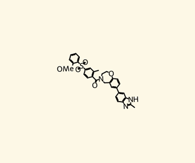 COc1ccccc1S(=O)(=O)c1ccc(C(=O)N2CCOc3ccc(-c4ccc5nc(C)[nH]c5c4)cc3C2)c(C)c1